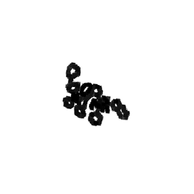 c1ccc(-c2ccc(N(c3ccccc3)c3c4ccccc4cc4c3oc3cccc(-c5nc(-c6ccccc6)nc(-c6ccc7ccccc7c6)n5)c34)cc2)cc1